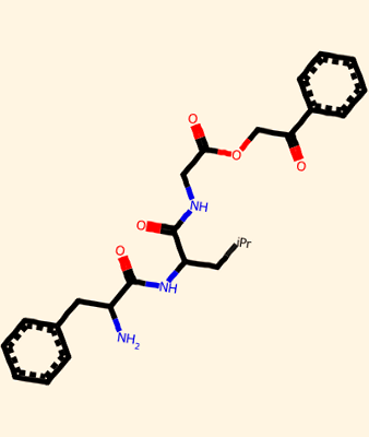 CC(C)CC(NC(=O)C(N)Cc1ccccc1)C(=O)NCC(=O)OCC(=O)c1ccccc1